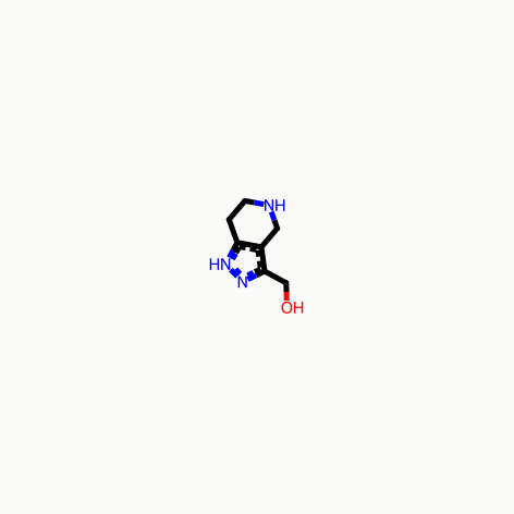 OCc1n[nH]c2c1CNCC2